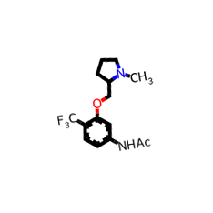 CC(=O)Nc1ccc(C(F)(F)F)c(OCC2CCCN2C)c1